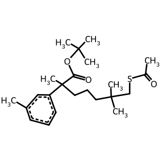 CC(=O)SCC(C)(C)CCCC(C)(C(=O)OC(C)(C)C)c1cccc(C)c1